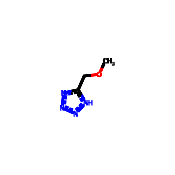 COCc1nnn[nH]1